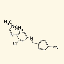 CN(C)/C=N\c1c(Cl)cc(/N=C/c2ccc(C#N)cc2)cc1Cl